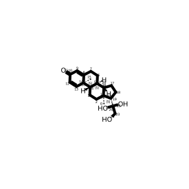 C[C@]12CC[C@H]3[C@@H](CCC4=CC(=O)C=C[C@@]43C)[C@@H]1CC[C@@H]2C(O)(O)CO